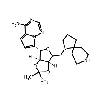 CC1(C)O[C@@H]2[C@H](O1)C(CN1CCCC13CCNCC3)O[C@H]2c1ccc2c(N)ncnn12